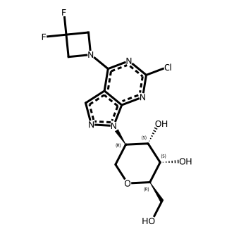 OC[C@H]1OC[C@@H](n2ncc3c(N4CC(F)(F)C4)nc(Cl)nc32)[C@H](O)[C@@H]1O